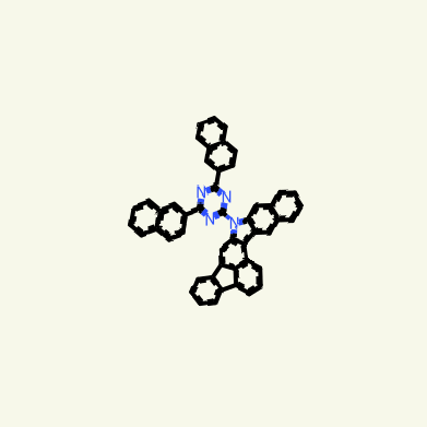 c1ccc2c(c1)-c1cccc3c1c-2cc1c3c2cc3ccccc3cc2n1-c1nc(-c2ccc3ccccc3c2)nc(-c2ccc3ccccc3c2)n1